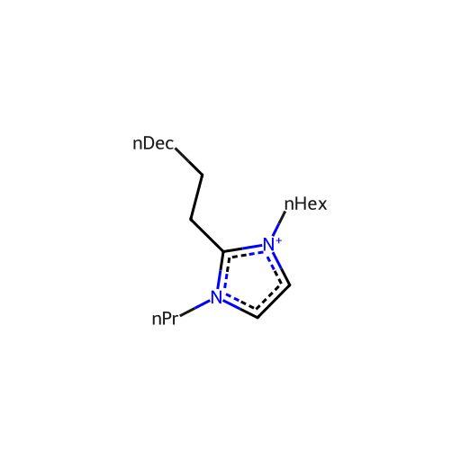 CCCCCCCCCCCCc1n(CCC)cc[n+]1CCCCCC